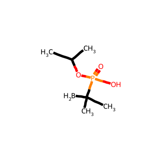 BC(C)(C)P(=O)(O)OC(C)C